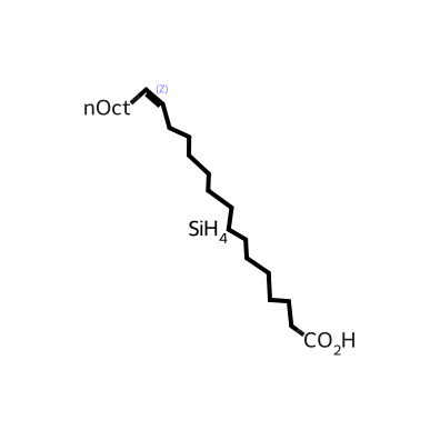 CCCCCCCC/C=C\CCCCCCCCCCCCCC(=O)O.[SiH4]